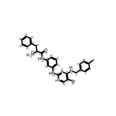 Cc1ccc(CNc2nc(Nc3cccc(NC(=O)C(N)Cc4ccccc4)c3)ncc2Br)cc1